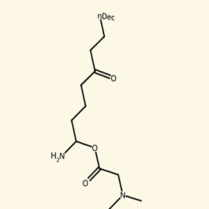 CCCCCCCCCCCCC(=O)CCCC(N)OC(=O)CN(C)C